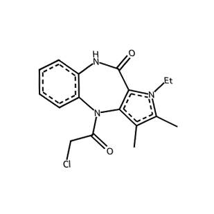 CCn1c(C)c(C)c2c1C(=O)Nc1ccccc1N2C(=O)CCl